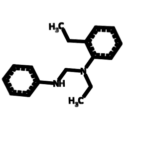 CCc1ccccc1N(CC)CNc1ccccc1